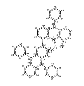 CCc1nc2cccc3c2n1-c1c(-c2ccc4c(-c5ccccc5)c5ccccc5c(-c5ccccc5)c4c2)cccc1N3c1ccccc1